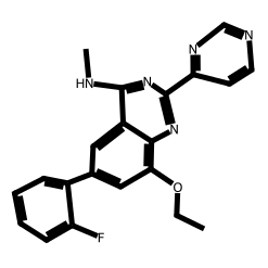 CCOc1cc(-c2ccccc2F)cc2c(NC)nc(-c3ccncn3)nc12